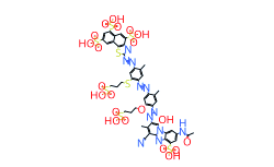 CC(=O)Nc1cc(S(=O)(=O)O)c2nc3c(C#N)c(C)c(N=Nc4cc(C)c(N=Nc5cc(C)c(N=Nc6nc7c(S(=O)(=O)O)cc8c(S(=O)(=O)O)cc(S(=O)(=O)O)cc8c7s6)cc5SCCCS(=O)(=O)O)cc4OCCCS(=O)(=O)O)c(O)n3c2c1